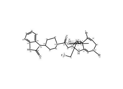 O=C1C(CC(F)(F)F)CCC23C(Br)=CCN(Br)C=C2NN(CC(=O)N2CCC(n4c(=O)[nH]c5ncccc54)CC2)[C@H]13